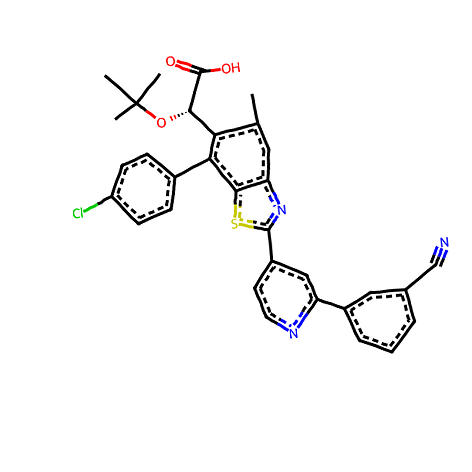 Cc1cc2nc(-c3ccnc(-c4cccc(C#N)c4)c3)sc2c(-c2ccc(Cl)cc2)c1[C@H](OC(C)(C)C)C(=O)O